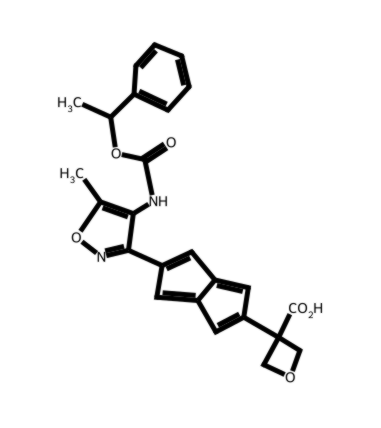 Cc1onc(C2=CC3=CC(C4(C(=O)O)COC4)=CC3=C2)c1NC(=O)OC(C)c1ccccc1